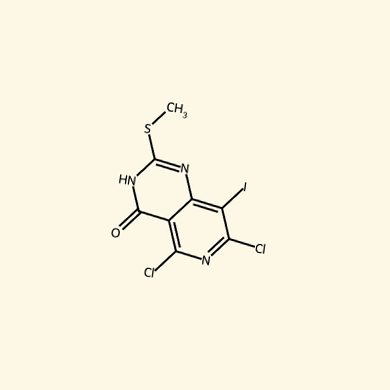 CSc1nc2c(I)c(Cl)nc(Cl)c2c(=O)[nH]1